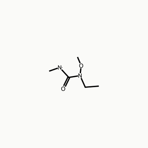 CCN(OC)C(=O)[N]C